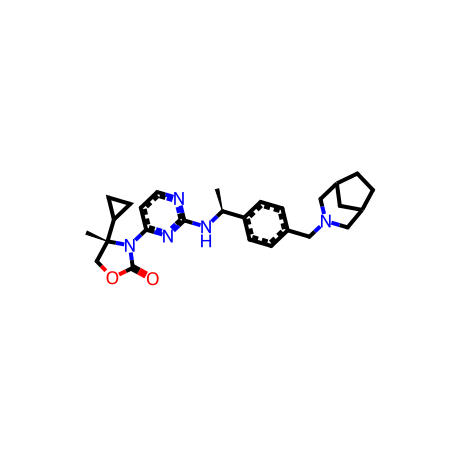 C[C@H](Nc1nccc(N2C(=O)OC[C@]2(C)C2CC2)n1)c1ccc(CN2CC3CCC(C3)C2)cc1